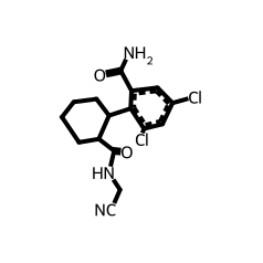 N#CCNC(=O)C1CCCCC1c1c(Cl)cc(Cl)cc1C(N)=O